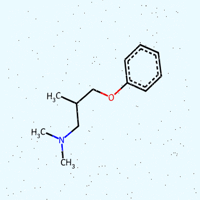 CC(COc1c[c]ccc1)CN(C)C